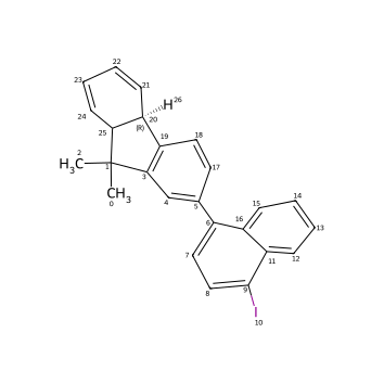 CC1(C)c2cc(-c3ccc(I)c4ccccc34)ccc2[C@@H]2C=CC=CC21